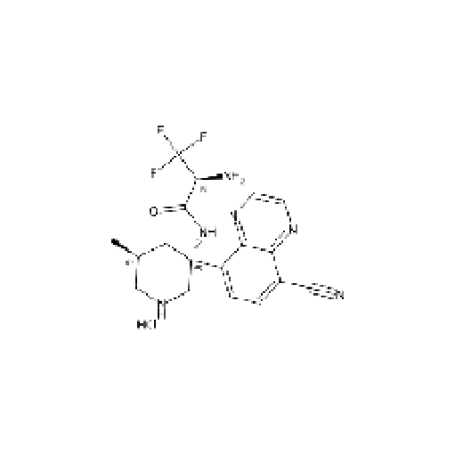 C[C@@H]1CNC[C@](NC(=O)[C@H](N)C(F)(F)F)(c2ccc(C#N)c3nccnc23)C1.Cl